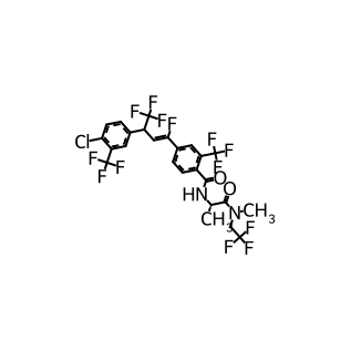 C[C@@H](NC(=O)c1ccc(/C(F)=C/C(c2ccc(Cl)c(C(F)(F)F)c2)C(F)(F)F)cc1C(F)(F)F)C(=O)N(C)CC(F)(F)F